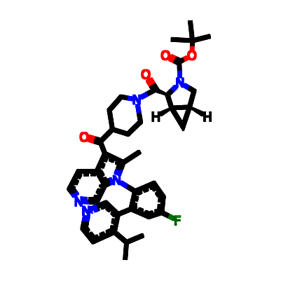 Cc1c(C(=O)C2CCN(C(=O)[C@@H]3[C@H]4C[C@H]4CN3C(=O)OC(C)(C)C)CC2)c2ccncc2n1-c1ccc(F)cc1-c1cnccc1C(C)C